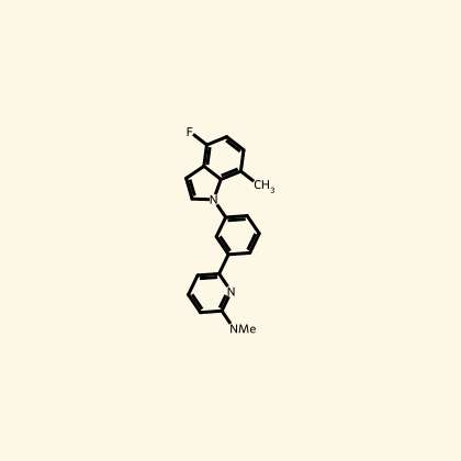 CNc1cccc(-c2cccc(-n3ccc4c(F)ccc(C)c43)c2)n1